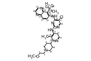 COCCN1CCC(N2N=CCC(Nc3ncc(Cl)c(Nc4ccc5nccnc5c4P(C)(C)=O)n3)=C2C)CC1